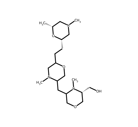 C[C@@H]1CN(C)C[C@H](CCC2CN(C)C(CC3COC[C@@H](CO)N3C)CO2)O1